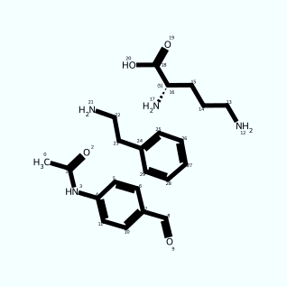 CC(=O)Nc1ccc(C=O)cc1.NCCC[C@H](N)C(=O)O.NCCc1ccccc1